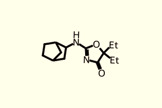 CCC1(CC)OC(NC2CC3CCC2C3)=NC1=O